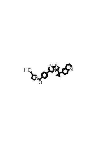 C#CC1CCN(C(=O)c2ccc(-c3cnc4ncc(C5(c6ccc7ncccc7c6)CC5)n4c3)cc2)C1